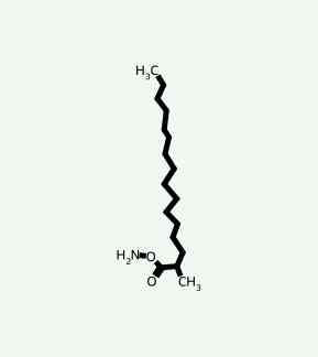 CCCCCCCCCCCCCCC(C)C(=O)ON